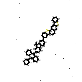 CC1(C)c2cc(-c3ccc4sc5c6cc7c(cc6ccc5c4c3)sc3ccccc37)ccc2-c2ccc(-c3c4ccccc4c(-c4ccccc4)c4ccccc34)cc21